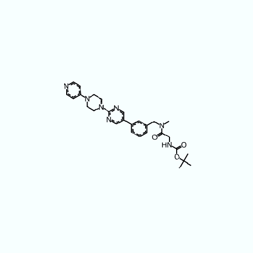 CN(Cc1cccc(-c2cnc(N3CCN(c4ccncc4)CC3)nc2)c1)C(=O)CNC(=O)OC(C)(C)C